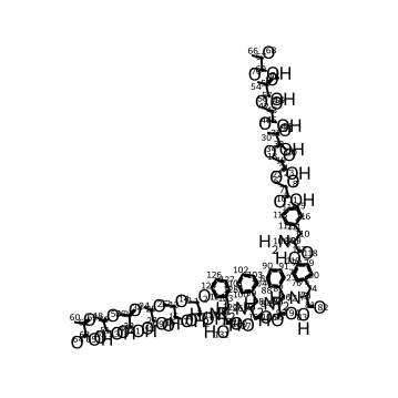 CC(=O)C(=O)O.CC(=O)C(=O)O.CC(=O)C(=O)O.CC(=O)C(=O)O.CC(=O)C(=O)O.CC(=O)C(=O)O.CC(=O)C(=O)O.CC(=O)C(=O)O.CC(=O)C(=O)O.CC(=O)C(=O)O.CC(=O)C(=O)O.CC(=O)C(=O)O.N[C@@H](Cc1ccccc1)C(=O)O.N[C@@H](Cc1ccccc1)C(=O)O.N[C@@H](Cc1ccccc1)C(=O)O.N[C@@H](Cc1ccccc1)C(=O)O.N[C@@H](Cc1ccccc1)C(=O)O